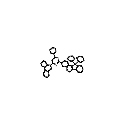 c1ccc(-c2cc(-c3cc4ccccc4c4ccccc34)nc(-c3ccc4c5c(ccc4c3)-c3ccccc3C5(c3ccccc3)c3ccccc3)n2)cc1